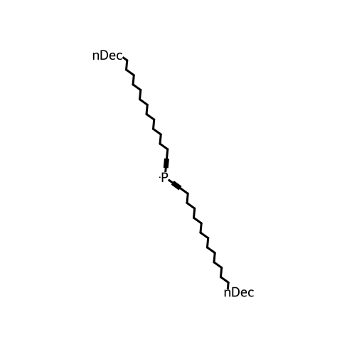 CCCCCCCCCCCCCCCCCCCCCCCC#C[P]C#CCCCCCCCCCCCCCCCCCCCCCCC